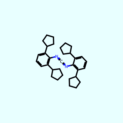 C(=Nc1c(C2CCCC2)cccc1C1CCCC1)=Nc1c(C2CCCC2)cccc1C1CCCC1